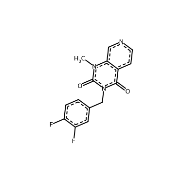 Cn1c(=O)n(Cc2ccc(F)c(F)c2)c(=O)c2ccncc21